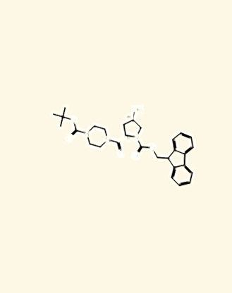 CC(C)(C)OC(=O)N1CCN(C(=O)[C@@H]2C[C@@H](O)CN2C(=O)OCC2c3ccccc3-c3ccccc32)CC1